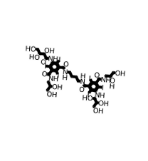 O=C(NCCCCNC(=O)c1c(I)c(NC(O)C(O)CO)c(I)c(C(=O)NCC(O)CO)c1I)c1c(I)c(NC(=O)C(O)C(O)CO)c(I)c(C(=O)NCC(O)CO)c1I